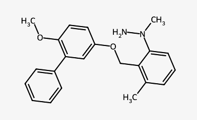 COc1ccc(OCc2c(C)cccc2N(C)N)cc1-c1ccccc1